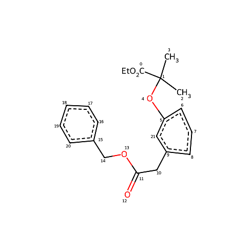 CCOC(=O)C(C)(C)Oc1cccc(CC(=O)OCc2ccccc2)c1